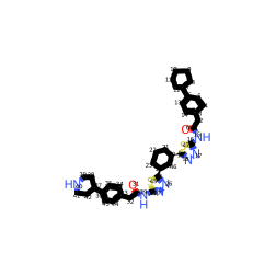 O=C(Cc1ccc(C2CCCCC2)cc1)Nc1nnc([C@H]2CCC[C@H](c3nnc(NC(=O)Cc4ccc(C5CCNCC5)cc4)s3)C2)s1